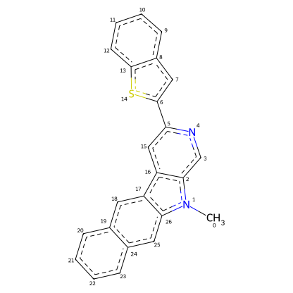 Cn1c2cnc(-c3cc4ccccc4s3)cc2c2cc3ccccc3cc21